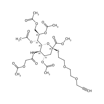 C#CCOCCOCCS[C@@]1(C(=O)OC)C[C@H](OC(C)=O)[C@@H](NC(=O)COC(C)=O)[C@H]([C@H](OC(C)=O)[C@@H](COC(C)=O)OC(C)=O)O1